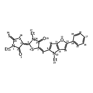 CCN1C(=O)/C(=c2\s/c(=C/c3cc4oc(-c5ccccc5)cc4n3CC)c(=O)n2CC)SC1=S